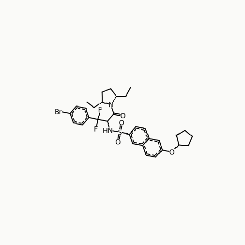 CCC1CCC(CC)N1C(=O)C(NS(=O)(=O)c1ccc2cc(OC3CCCC3)ccc2c1)C(F)(F)c1ccc(Br)cc1